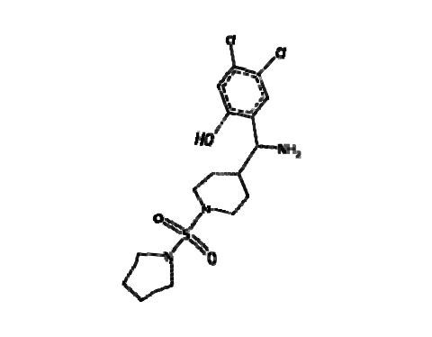 NC(c1cc(Cl)c(Cl)cc1O)C1CCN(S(=O)(=O)N2CCCC2)CC1